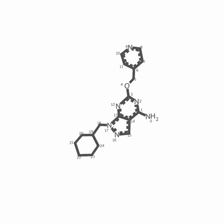 Nc1nc(OCc2ccncc2)nc2c1cnn2CC1CCCCC1